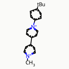 C[n+]1ccc(-c2cc[n+](-c3ccc(C(C)(C)C)cc3)cc2)cc1